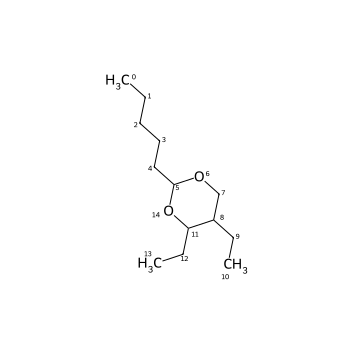 CCCCCC1OCC(CC)C(CC)O1